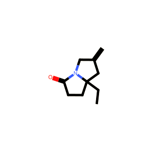 C=C1CN2C(=O)CCC2(CC)C1